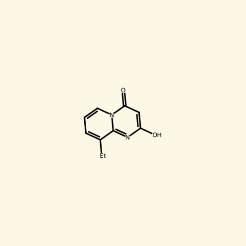 CCc1cccn2c(=O)cc(O)nc12